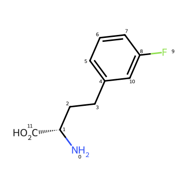 N[C@@H](CCc1cccc(F)c1)C(=O)O